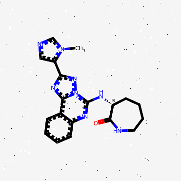 Cn1cncc1-c1nc2c3ccccc3nc(N[C@@H]3CCCCNC3=O)n2n1